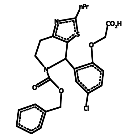 CCCc1nc2c(s1)C(c1cc(Cl)ccc1OCC(=O)O)N(C(=O)OCc1ccccc1)CC2